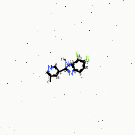 Cc1cncc(-c2nc3ccc(F)c(F)c3n2C)c1